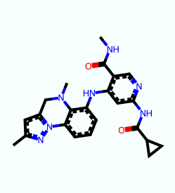 CNC(=O)c1cnc(NC(=O)C2CC2)cc1Nc1cccc2c1N(C)Cc1cc(C)nn1-2